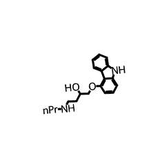 CCCNCCC(O)COc1cccc2[nH]c3ccccc3c12